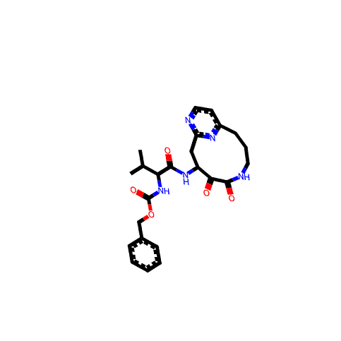 CC(C)C(NC(=O)OCc1ccccc1)C(=O)NC1Cc2nccc(n2)CCCNC(=O)C1=O